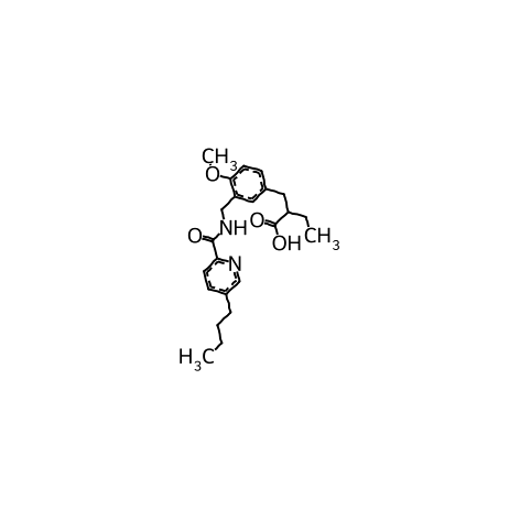 CCCCc1ccc(C(=O)NCc2cc(CC(CC)C(=O)O)ccc2OC)nc1